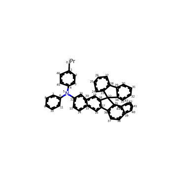 CC(C)c1ccc(N(c2ccccc2)c2ccc3cc4c(cc3c2)C2(c3ccccc3-c3ccccc32)c2c-4ccc3ccccc23)cc1